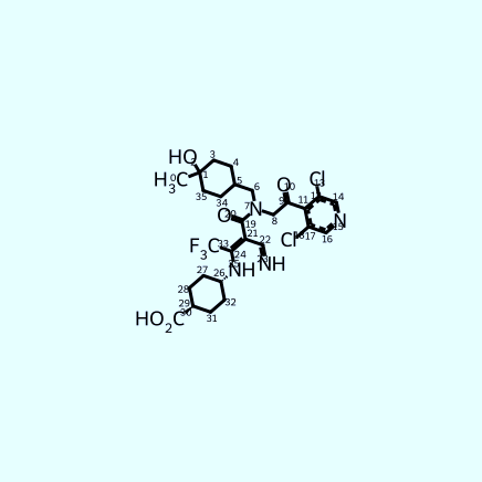 CC1(O)CCC(CN(CC(=O)c2c(Cl)cncc2Cl)C(=O)/C(C=N)=C(/N[C@H]2CC[C@H](C(=O)O)CC2)C(F)(F)F)CC1